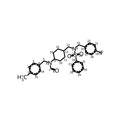 Cc1ccc(CN(C=O)C2CCC(CN(Cc3ccc(F)cc3)S(=O)(=O)c3ccccc3)CC2)cc1